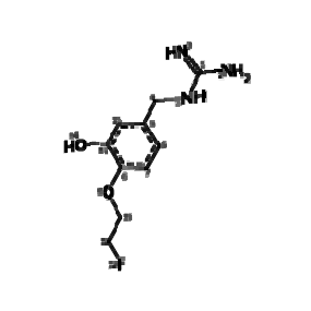 N=C(N)NCc1ccc(OCCF)c(O)c1